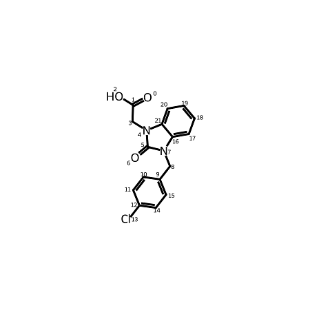 O=C(O)Cn1c(=O)n(Cc2ccc(Cl)cc2)c2ccccc21